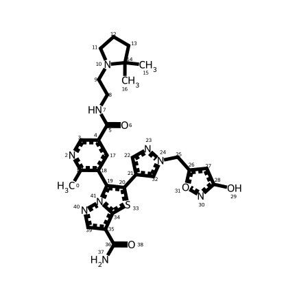 Cc1ncc(C(=O)NCCN2CCCC2(C)C)cc1-c1c(-c2cnn(Cc3cc(O)no3)c2)sc2c(C(N)=O)cnn12